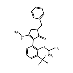 CNC1=C(c2cccc(C(F)(F)F)c2OC(C)C)C(=O)C(Cc2ccccc2)C1